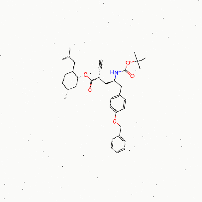 C#C[C@H](C[C@H](Cc1ccc(OCc2ccccc2)cc1)NC(=O)OC(C)(C)C)C(=O)O[C@@H]1C[C@H](C)CC[C@H]1CC(C)C